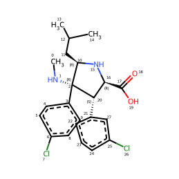 CN[C@]1(c2ccc(Cl)cc2)[C@@H](CC(C)C)N[C@@H](C(=O)O)[C@@H]1c1cccc(Cl)c1